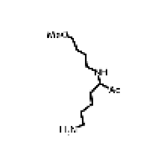 COCCCCNC(CCCCN)C(C)=O